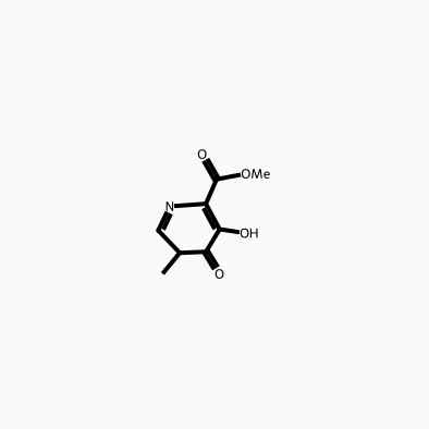 COC(=O)C1=C(O)C(=O)C(C)C=N1